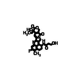 CC[C@@]1(O)C(=O)OCc2c1cc1n(c2=O)Cc2c-1nc1cc(F)c(C)c3c1c2C(NC(=O)CCO)CC3